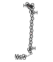 COc1ccc(CCCc2cccc(OCC(=O)NCCOCCOCCOCCOCCOCCOCCOCCOCCOCCOCCOCCNC(=O)COc3cccc4c3C(=O)N(C3CCC(=O)NC3=O)C4=O)c2)cc1OC